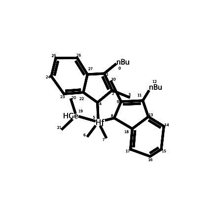 CCCCC1=C(C)[CH]([Hf]([CH3])([CH3])([CH]2C(C)=C(CCCC)c3ccccc32)[GeH]([CH3])[CH3])c2ccccc21